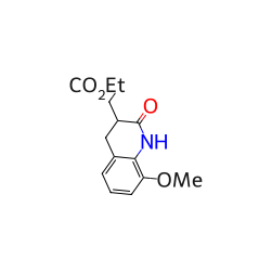 CCOC(=O)CC1Cc2cccc(OC)c2NC1=O